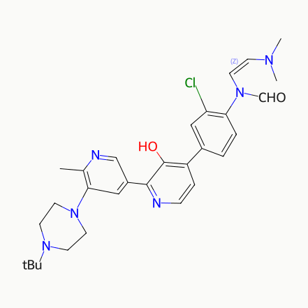 Cc1ncc(-c2nccc(-c3ccc(N(C=O)/C=C\N(C)C)c(Cl)c3)c2O)cc1N1CCN(C(C)(C)C)CC1